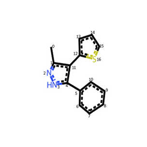 Cc1n[nH]c(-c2ccccc2)c1-c1cccs1